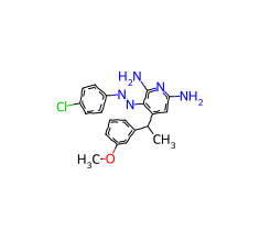 COc1cccc(C(C)c2cc(N)nc(N)c2/N=N/c2ccc(Cl)cc2)c1